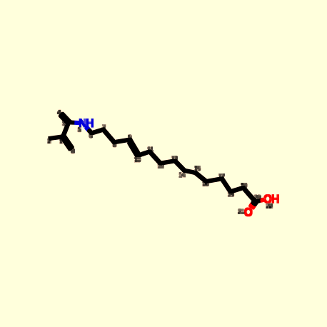 C=C(C)C(=C)NCCC/C=C/CCCCCCCCCC(=O)O